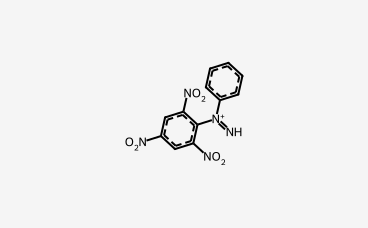 N=[N+](c1ccccc1)c1c([N+](=O)[O-])cc([N+](=O)[O-])cc1[N+](=O)[O-]